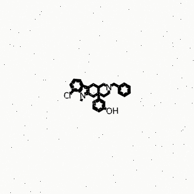 Cn1c2c(c3cccc(Cl)c31)CC1CN(Cc3ccccc3)CCC1(c1cccc(O)c1)C2